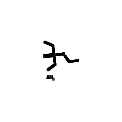 CCOP(=O)(CC)CC.[AlH3]